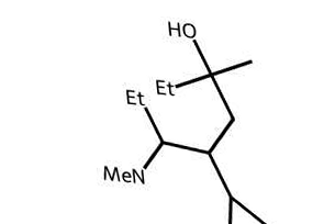 CCC(NC)C(CC(C)(O)CC)C1CC1